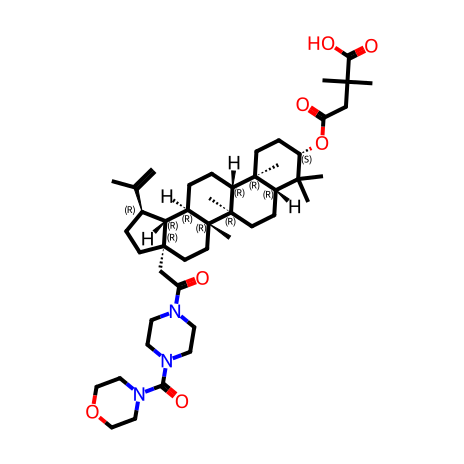 C=C(C)[C@@H]1CC[C@]2(CC(=O)N3CCN(C(=O)N4CCOCC4)CC3)CC[C@]3(C)[C@H](CC[C@@H]4[C@@]5(C)CC[C@H](OC(=O)CC(C)(C)C(=O)O)C(C)(C)[C@@H]5CC[C@]43C)[C@@H]12